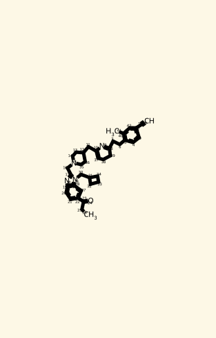 C#Cc1ccc(CCC2=NC(CC3CCN(Cc4nc5ccc(C(=O)CC)cc5n4CC4CCC4)CC3)=CCC2)c(C)c1